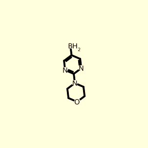 Bc1cnc(N2CCOCC2)nc1